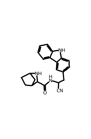 N#CC(Cc1ccc2[nH]c3ccccc3c2c1)NC(=O)C1NC2CCC1C2